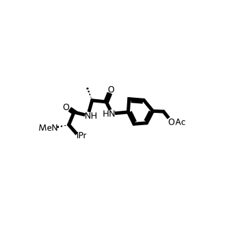 CN[C@H](C(=O)N[C@H](C)C(=O)Nc1ccc(COC(C)=O)cc1)C(C)C